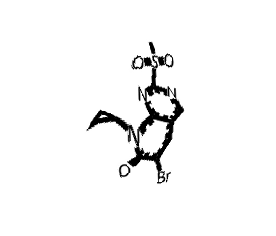 CS(=O)(=O)c1ncc2cc(Br)c(=O)n(C3CC3)c2n1